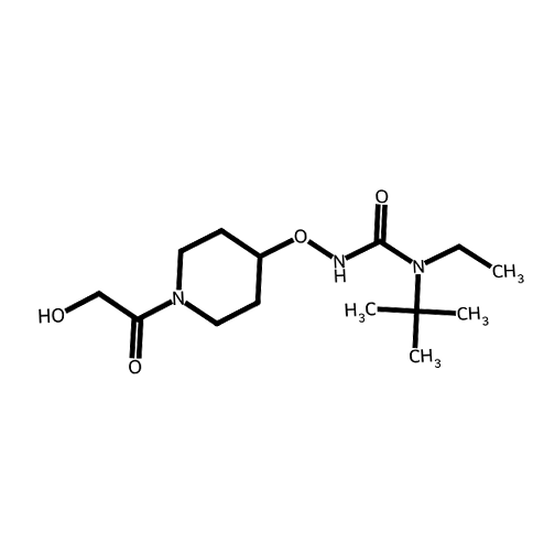 CCN(C(=O)NOC1CCN(C(=O)CO)CC1)C(C)(C)C